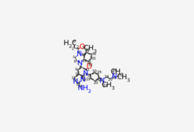 C=CC(=O)N1CCN(c2cc3cnc(N)nc3n(-c3ccc(N(C)CCN(C)C)cc3)c2=O)c2cccc(C)c21